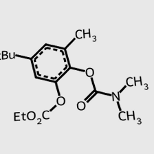 CCOC(=O)Oc1cc(C(C)(C)C)cc(C)c1OC(=O)N(C)C